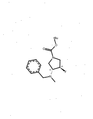 CN(Cc1ccccc1)[C@@H]1CN(C(=O)OC(C)(C)C)C[C@H]1F